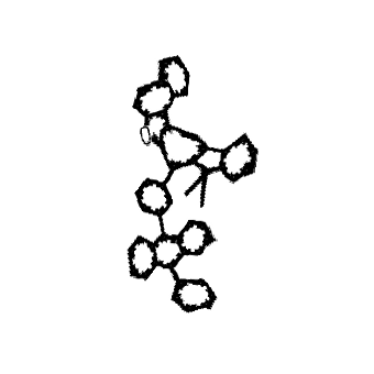 CC1(C)c2ccccc2-c2cc3c(oc4ccc5ccccc5c43)c(-c3cccc(-c4c5ccccc5c(-c5ccccc5)c5ccccc45)c3)c21